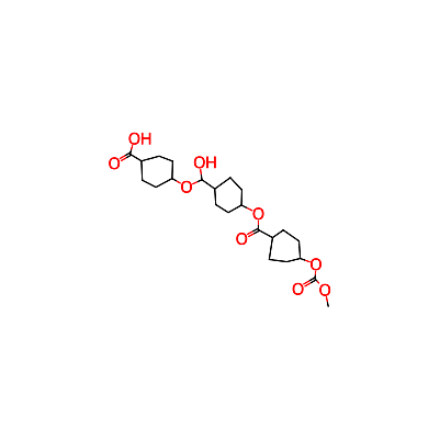 COC(=O)OC1CCC(C(=O)OC2CCC(C(O)OC3CCC(C(=O)O)CC3)CC2)CC1